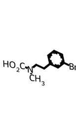 CN(CCc1cccc(Br)c1)C(=O)O